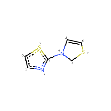 [c]1cnc(N2C=CSC2)s1